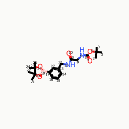 CC(C)(C)OC(=O)NCC(=O)NCc1cccc(B2OC(C)(C)C(C)(C)O2)c1